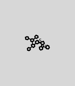 c1ccc(-c2cc(-c3ccccc3)cc(-c3cc(-c4ccccc4)ccc3-c3ccc4sc5ccc6c(c7ccccc7n6-c6ccccc6)c5c4c3)c2)cc1